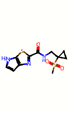 CS(=O)(=O)C1(CNC(=O)c2nc3cc[nH]c3s2)CC1